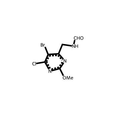 COc1nc(Cl)c(Br)c(CNC=O)n1